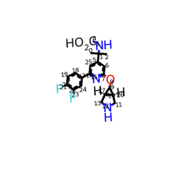 CC(C)(NC(=O)O)c1cc(OC2[C@H]3CNC[C@@H]23)nc(-c2ccc(F)c(F)c2)c1